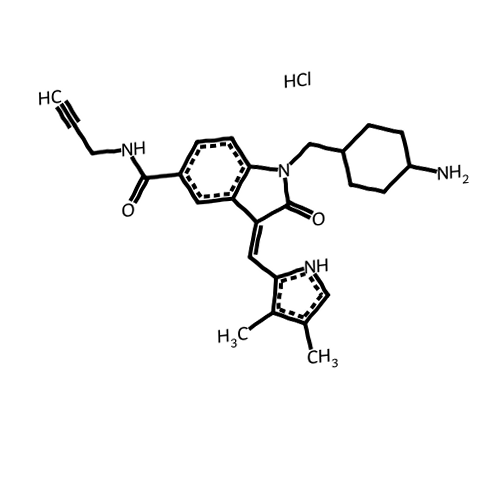 C#CCNC(=O)c1ccc2c(c1)/C(=C/c1[nH]cc(C)c1C)C(=O)N2CC1CCC(N)CC1.Cl